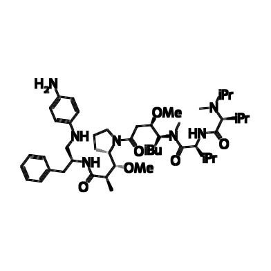 CC[C@H](C)[C@@H]([C@@H](CC(=O)N1CCC[C@H]1[C@H](OC)[C@@H](C)C(=O)N[C@H](CNc1ccc(N)cc1)Cc1ccccc1)OC)N(C)C(=O)[C@@H](NC(=O)[C@H](C(C)C)N(C)C(C)C)C(C)C